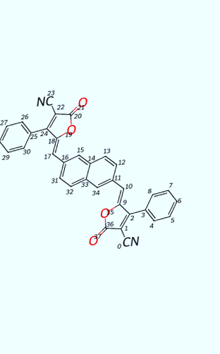 N#CC1=C(c2ccccc2)C(=Cc2ccc3cc(C=C4OC(=O)C(C#N)=C4c4ccccc4)ccc3c2)OC1=O